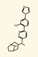 CN(c1ccc(-c2ccc(-n3cncn3)cc2O)nn1)C1CC2CCC(C1)N2